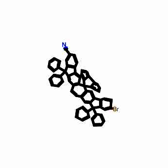 N#Cc1ccc2c(c1)C(c1ccccc1)(c1ccccc1)c1cc3c(cc1-2)C1(c2cc4c(cc2C=C3)C(c2ccccc2)(c2ccccc2)c2cc(Br)ccc2-4)c2ccccc2-c2ccccc21